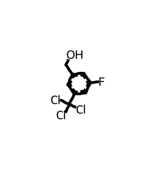 OCc1cc(F)cc(C(Cl)(Cl)Cl)c1